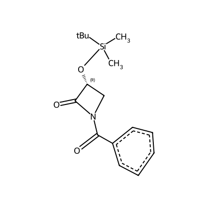 CC(C)(C)[Si](C)(C)O[C@@H]1CN(C(=O)c2ccccc2)C1=O